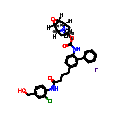 C[N+]1(C)[C@@H]2C[C@@H](OC(=O)Nc3ccc(CCCC(=O)Nc4ccc(CO)cc4Cl)cc3-c3ccccc3)C[C@H]1[C@@H]1O[C@@H]12.[I-]